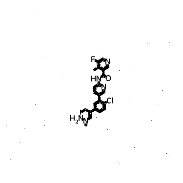 Cc1c(F)cncc1C(=O)Nc1ccc(-c2cc(/C(=C/N(C)N)CI)ccc2Cl)cn1